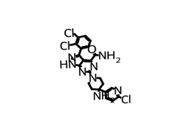 NC(=O)c1nc(N2CCC(N)(c3ccc(Cl)nc3)CC2)nc2[nH]nc(-c3cccc(Cl)c3Cl)c12